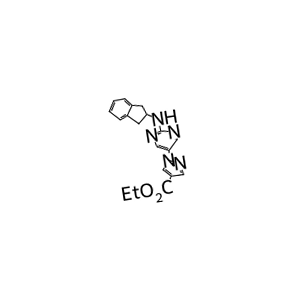 CCOC(=O)c1cnn(-c2cnc(NC3Cc4ccccc4C3)nc2)c1